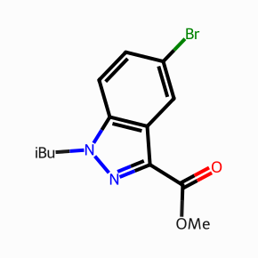 CCC(C)n1nc(C(=O)OC)c2cc(Br)ccc21